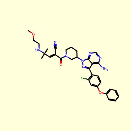 COCCNC(C)(C)C=C(C#N)C(=O)N1CCCC(n2nc(-c3ccc(Oc4ccccc4)cc3F)c3c(N)ncnc32)C1